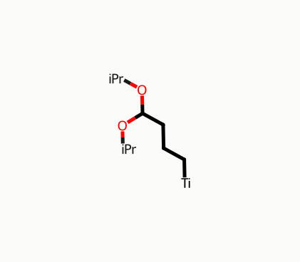 CC(C)OC(CC[CH2][Ti])OC(C)C